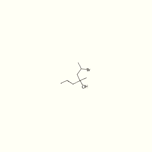 CCCC(C)(O)CC(C)Br